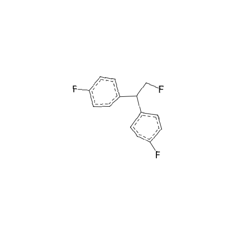 FCC(c1ccc(F)cc1)c1ccc(F)cc1